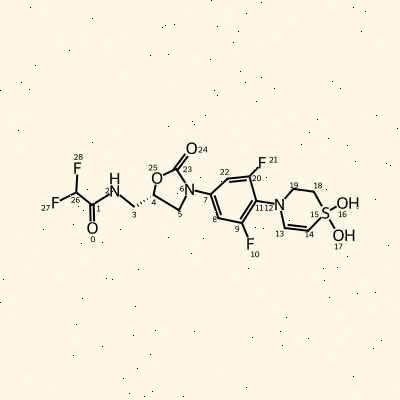 O=C(NC[C@H]1CN(c2cc(F)c(N3C=CS(O)(O)CC3)c(F)c2)C(=O)O1)C(F)F